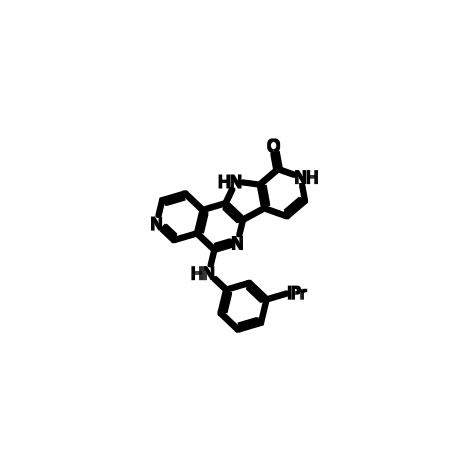 CC(C)c1cccc(Nc2nc3c4cc[nH]c(=O)c4[nH]c3c3ccncc23)c1